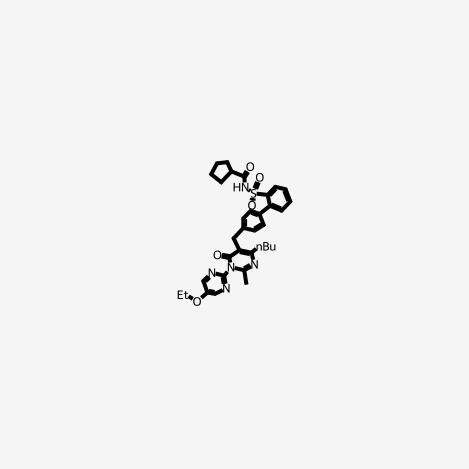 CCCCc1nc(C)n(-c2ncc(OCC)cn2)c(=O)c1Cc1ccc(-c2ccccc2S(=O)(=O)NC(=O)C2CCCC2)cc1